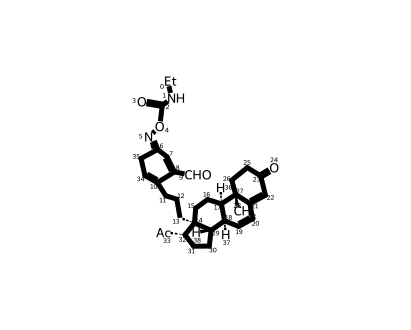 CCNC(=O)ON=C1C=C(C=O)C(CCC[C@]23CC[C@@H]4[C@@H](C=CC5=CC(=O)CC[C@]54C)[C@@H]2CC[C@@H]3C(C)=O)=CC1